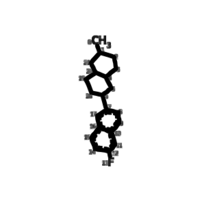 CC1CCC2CC(c3ccc4cc(F)ccc4c3)CCC2C1